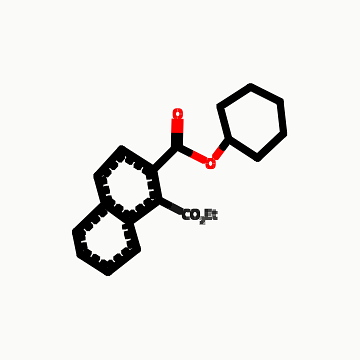 CCOC(=O)c1c(C(=O)OC2CCCCC2)ccc2ccccc12